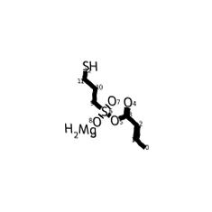 CC=CC(=O)OS(=O)(=O)CCCS.[MgH2]